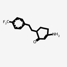 NC1=CC(=O)C(CCc2ccc(C(F)(F)F)cc2)CC1